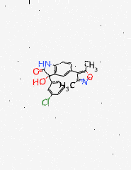 Cc1noc(C)c1-c1ccc2c(c1)C(O)(c1cccc(Cl)c1)C(=O)N2